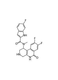 CN(C(=O)c1cc2ccc(F)cc2[nH]1)C1CNCc2[nH]c(=O)c3cc(F)c(F)cc3c21